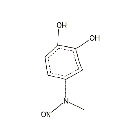 CN(N=O)c1ccc(O)c(O)c1